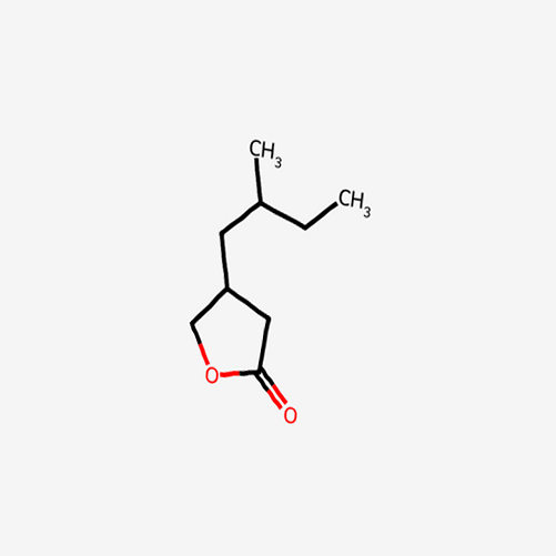 CCC(C)CC1COC(=O)C1